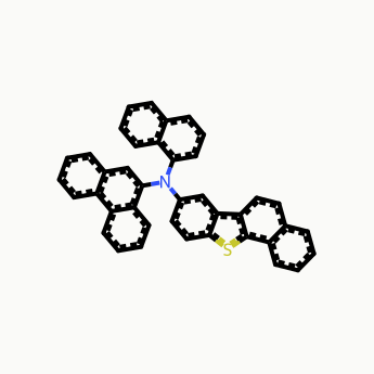 c1ccc2c(N(c3ccc4sc5c6ccccc6ccc5c4c3)c3cc4ccccc4c4ccccc34)cccc2c1